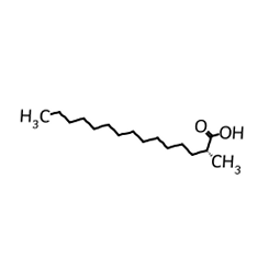 CCCCCCCCCCCCC[C@@H](C)C(=O)O